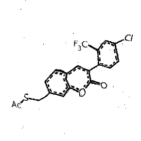 CC(=O)SCc1ccc2cc(-c3ccc(Cl)cc3C(F)(F)F)c(=O)oc2c1